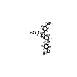 CC(C)Oc1ccc(-n2c(C(=O)O)cc3cc(Oc4cccc(OC(C)C)c4)ccc32)cc1